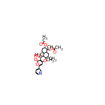 CC(=O)OCC1(C)C2C[C@H](C)[C@@]3(C)Oc4cc(-c5cccnc5)oc(=O)c4[C@H](O)C3[C@@]2(C)CC[C@@H]1OC(C)=O